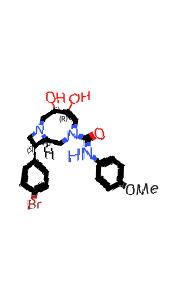 COc1ccc(NC(=O)N2C[C@@H](O)[C@@H](O)CN3C[C@H](c4ccc(Br)cc4)[C@@H]3C2)cc1